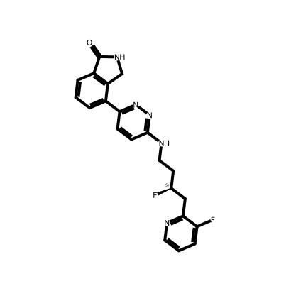 O=C1NCc2c1cccc2-c1ccc(NCC[C@H](F)Cc2ncccc2F)nn1